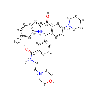 CN(CCN1CCOCC1)C(=O)c1cccc(Cc2ccc(N3CCCCC3)cc2C(=O)c2cc3ccc(C(F)(F)F)cc3[nH]2)c1